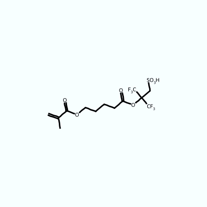 C=C(C)C(=O)OCCCCC(=O)OC(CS(=O)(=O)O)(C(F)(F)F)C(F)(F)F